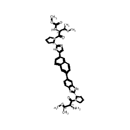 COC(=O)N[C@H](C(=O)N1CCC[C@H]1c1ncc(-c2ccc3cc(-c4ccc5nc([C@@H]6CCCN6C(=O)[C@@H](N)[C@@H](C)OC)[nH]c5c4)ccc3c2)[nH]1)[C@@H](C)OC